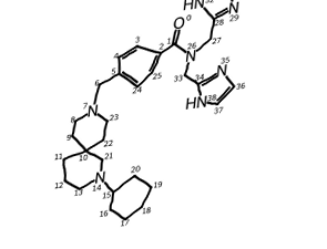 O=C(c1ccc(CN2CCC3(CCCN(C4CCCCC4)C3)CC2)cc1)N(Cc1ncc[nH]1)Cc1ncc[nH]1